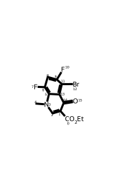 CCOC(=O)c1cn(C)c2c(F)cc(F)c(Br)c2c1=O